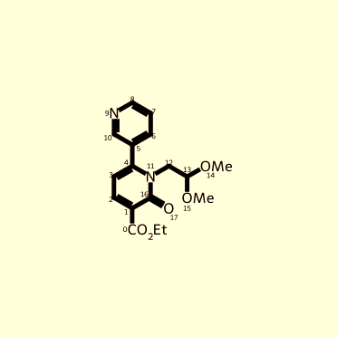 CCOC(=O)c1ccc(-c2cccnc2)n(CC(OC)OC)c1=O